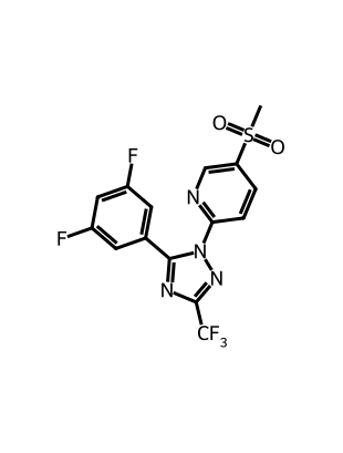 CS(=O)(=O)c1ccc(-n2nc(C(F)(F)F)nc2-c2cc(F)cc(F)c2)nc1